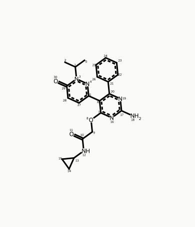 CC(C)n1nc(-c2c(OCC(=O)NC3CC3)nc(N)nc2-c2ccccc2)ccc1=O